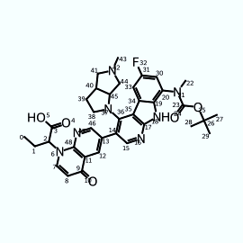 CCC(C(=O)O)n1ccc(=O)c2cc(-c3cnc4[nH]c5c(N(C)C(=O)OC(C)(C)C)cc(F)cc5c4c3N3CCC4CN(C)CC43)cnc21